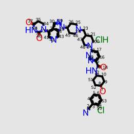 Cl.N#Cc1ccc(OC2CCC(NC(=O)c3ccc(N4CCC(CN5CCC(n6ncc7c(N8CCC(=O)NC8=O)cncc76)CC5)CC4)nn3)CC2)cc1Cl